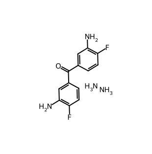 N.N.Nc1cc(C(=O)c2ccc(F)c(N)c2)ccc1F